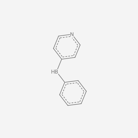 B(c1ccccc1)c1ccncc1